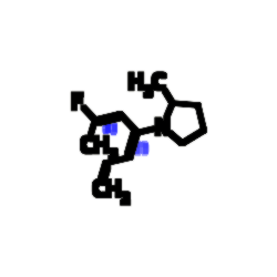 C=C/C=C(\C=C(/C)F)N1CCCC1C